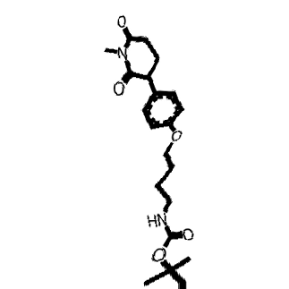 CN1C(=O)CCC(c2ccc(OCCCCNC(=O)OC(C)(C)C)cc2)C1=O